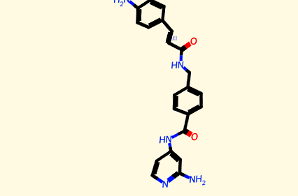 Nc1ccc(/C=C/C(=O)NCc2ccc(C(=O)Nc3ccnc(N)c3)cc2)cc1